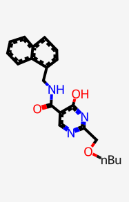 CCCCOCc1ncc(C(=O)NCc2cccc3ccccc23)c(O)n1